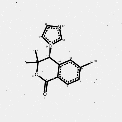 CC1(C)OC(=O)c2ccc(F)cc2[C@@H]1n1ccnc1